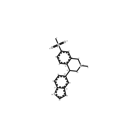 CN1Cc2cc(S(C)(=O)=O)ccc2C(c2ccc3sccc3c2)C1